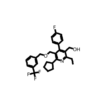 CCc1nc(C2CCCC2)c(COCc2cccc(C(F)(F)F)c2)c(-c2ccc(F)cc2)c1CO